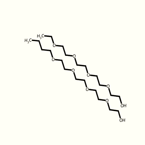 CCCCOCCOCCOCCOCCO.CCOCCOCCOCCOCCO